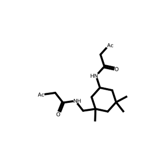 CC(=O)CC(=O)NCC1(C)CC(NC(=O)CC(C)=O)CC(C)(C)C1